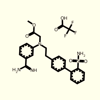 COC(=O)CN(CCc1ccc(-c2ccccc2S(N)(=O)=O)cc1)c1cccc(C(=N)N)c1.O=C(O)C(F)(F)F